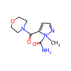 C[N+]1(C(N)=O)N=C[C]=C1C(=O)N1CCOCC1